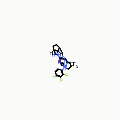 Fc1ccc(N2CCCn3nc(N[C@@H]4C5CC[C@H]4CN(c4ccnc(C(F)(F)F)c4)C5)nc32)c(F)c1F